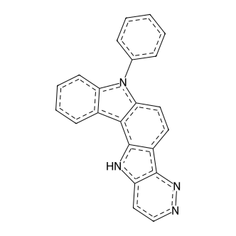 c1ccc(-n2c3ccccc3c3c4[nH]c5ccnnc5c4ccc32)cc1